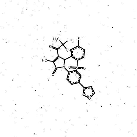 CC(C)(C)C(=O)C1=C(O)C(=O)N(c2ccc(-c3ccon3)cc2)C1c1cc(F)ccc1S(C)(=O)=O